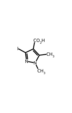 Cc1c(C(=O)O)c(I)nn1C